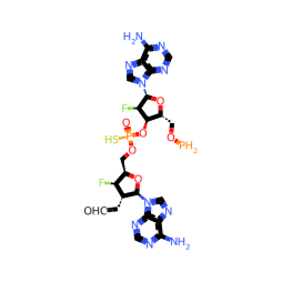 Nc1ncnc2c1ncn2[C@@H]1O[C@H](COP)[C@@H](O[P@](=O)(S)OC[C@H]2O[C@@H](n3cnc4c(N)ncnc43)[C@H](CC=O)[C@H]2F)[C@H]1F